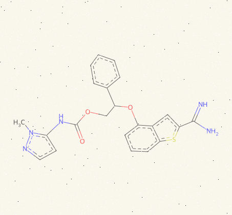 Cn1nccc1NC(=O)OCC(Oc1cccc2sc(C(=N)N)cc12)c1ccccc1